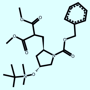 COC(=O)C(C[C@@H]1C[C@@H](O[Si](C)(C)C(C)(C)C)CN1C(=O)OCc1ccccc1)C(=O)OC